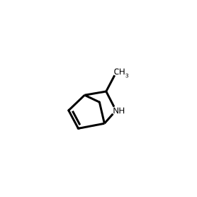 CC1NC2C=CC1C2